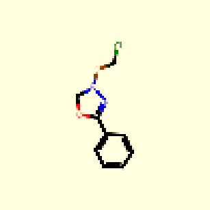 ClCSN1COC(c2ccccc2)=N1